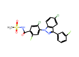 CS(=O)(=O)NC(=O)c1cc(Cl)c(-n2nc(-c3cccc(F)c3)c3cc(Cl)ccc32)cc1F